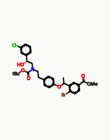 COC(=O)c1ccc(Br)c(C(C)Oc2ccc(CCN(C[C@H](O)c3cccc(Cl)c3)C(=O)OC(C)(C)C)cc2)c1